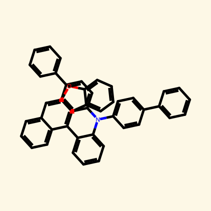 c1ccc(-c2ccc(N(c3ccc(-c4ccccc4)cc3)c3ccccc3-c3c4ccccc4cc4oc5ccccc5c34)cc2)cc1